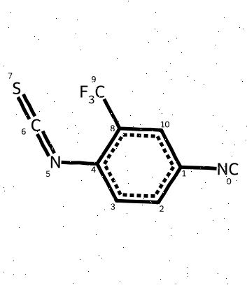 [C-]#[N+]c1ccc(N=C=S)c(C(F)(F)F)c1